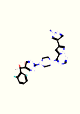 Cn1cc(-c2cc3c(N4CCN(c5ncc([C@@](C)(O)c6c(F)cccc6F)cn5)CC4)ncnn3c2)cn1